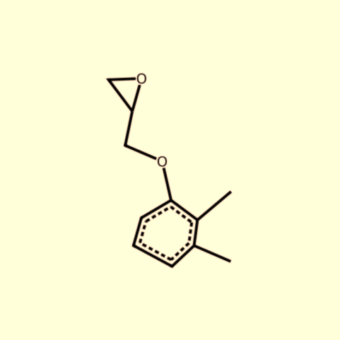 Cc1cccc(OCC2CO2)c1C